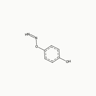 N=NOc1ccc(O)cc1